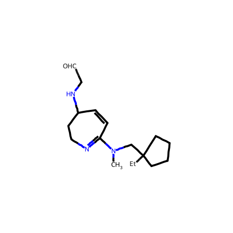 CCC1(CN(C)C2=NCCC(NCC=O)C=C2)CCCC1